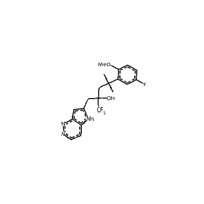 COc1ccc(F)cc1C(C)(C)CC(O)(Cc1cc2nnccc2[nH]1)C(F)(F)F